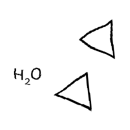 C1CC1.C1CC1.O